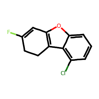 FC1=Cc2oc3cccc(Cl)c3c2CC1